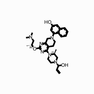 C=CC(O)N1CCN(c2nc(O[C@H](C)CN(C)C)nc3c2CCN(c2cc(O)cc4ccccc24)C3)[C@@H](C)C1